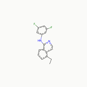 CCc1cccc2c(Nc3cc(F)cc(F)c3)nc[c]c12